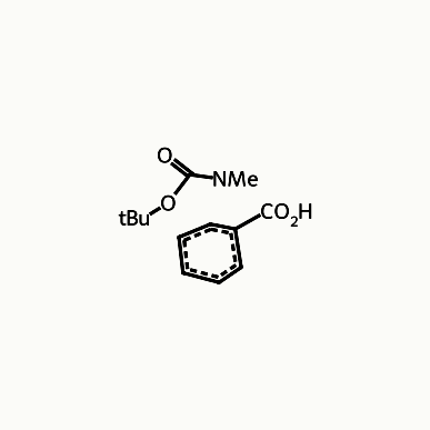 CNC(=O)OC(C)(C)C.O=C(O)c1ccccc1